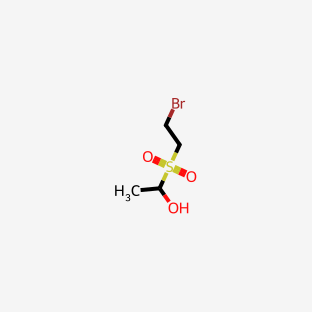 CC(O)S(=O)(=O)CCBr